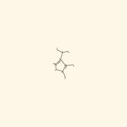 CC(C)C1=NCC(C)N1C